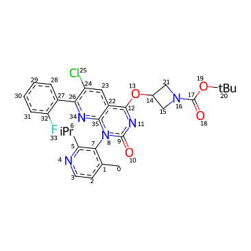 Cc1ccnc(C(C)C)c1-n1c(=O)nc(OC2CN(C(=O)OC(C)(C)C)C2)c2cc(Cl)c(-c3ccccc3F)nc21